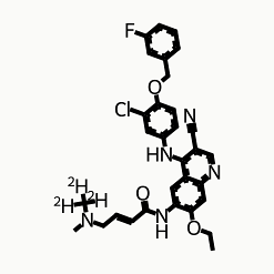 [2H]C([2H])([2H])N(C)C/C=C/C(=O)Nc1cc2c(Nc3ccc(OCc4cccc(F)c4)c(Cl)c3)c(C#N)cnc2cc1OCC